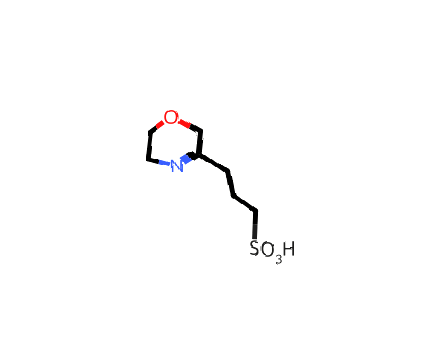 O=S(=O)(O)CCCC1=NCCOC1